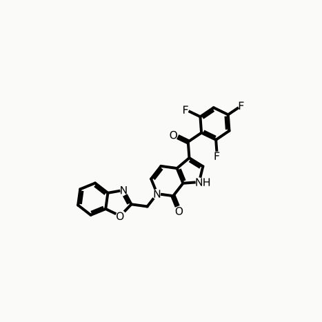 O=C(c1c(F)cc(F)cc1F)c1c[nH]c2c(=O)n(Cc3nc4ccccc4o3)ccc12